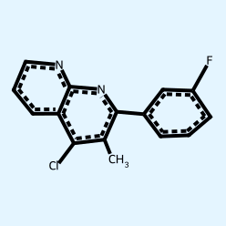 Cc1c(-c2cccc(F)c2)nc2ncccc2c1Cl